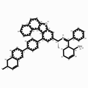 CC1C=Cc2cc(-c3ccc(-c4cc([C@@H](C)/N=C(/c5ccccc5)C5CCC=CC5N)cc5oc6ccc7ccccc7c6c45)cc3)ccc2C1